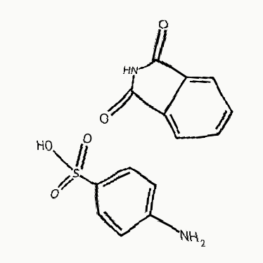 Nc1ccc(S(=O)(=O)O)cc1.O=C1NC(=O)c2ccccc21